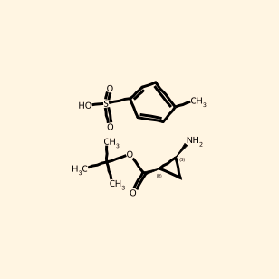 CC(C)(C)OC(=O)[C@@H]1C[C@@H]1N.Cc1ccc(S(=O)(=O)O)cc1